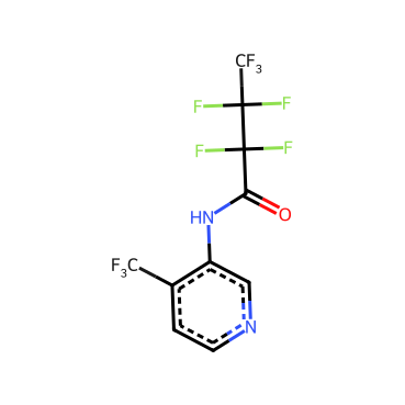 O=C(Nc1cnccc1C(F)(F)F)C(F)(F)C(F)(F)C(F)(F)F